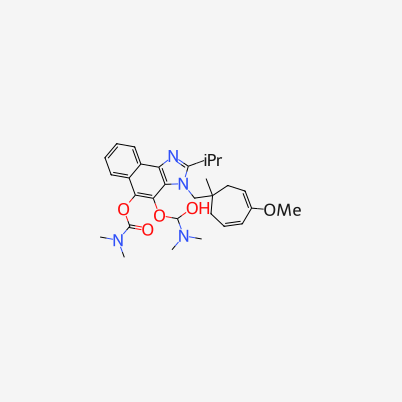 COC1=CCC(C)(Cn2c(C(C)C)nc3c4ccccc4c(OC(=O)N(C)C)c(OC(O)N(C)C)c32)CC=C1